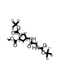 COC(=O)[C@@H]1CC(NC(=O)CNC(=O)OC(C)(C)C)CN1C(=O)OC(C)(C)C